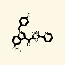 Cc1ccc2c(c1)c(C(=O)c1nnc(-c3ccccn3)o1)cn2Cc1ccc(Cl)cc1